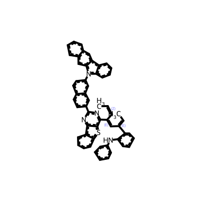 C\C=C/C(=C\C(=C/C)c1ccccc1Nc1ccccc1)c1nc(-c2ccc3ccc(-n4c5ccccc5c5cc6ccccc6cc54)cc3c2)nc2c1sc1ccccc12